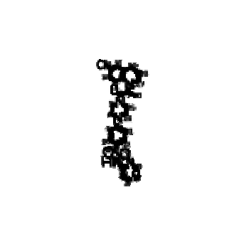 CC(C(=O)N1CCN(c2ccc(S(=O)(=O)Nc3ccncn3)cc2)CC1)N1CCCc2cc(Cl)ccc21